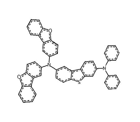 c1ccc(N(c2ccccc2)c2ccc3c(c2)sc2ccc(N(c4ccc5oc6ccccc6c5c4)c4ccc5oc6ccccc6c5c4)cc23)cc1